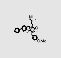 COc1ccc(C[C@@H]2NC(=O)[C@H](CCCCN)N(Cc3ccc(-c4ccccc4)cc3)C2=O)cc1